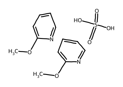 COc1ccccn1.COc1ccccn1.O=S(=O)(O)O